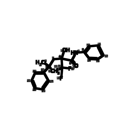 CC(C)(CC(O)(C(=O)Nc1ccccc1)C(F)(F)F)c1ccccc1